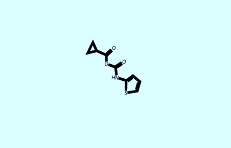 O=C(Nc1cccs1)OC(=O)C1CC1